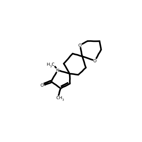 CC1=CC2(CCC3(CC2)OCCCO3)N(C)C1=O